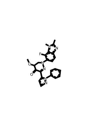 COC1CN(c2ccc3nc(C)n(C)c3c2F)N=C(c2ccnn2-c2ccccc2)C1=O